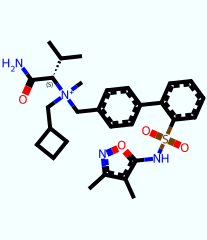 Cc1noc(NS(=O)(=O)c2ccccc2-c2ccc(C[N+](C)(CC3CCC3)[C@H](C(N)=O)C(C)C)cc2)c1C